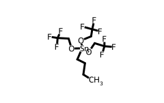 CCC[CH2][Sn]([O]CC(F)(F)F)([O]CC(F)(F)F)[O]CC(F)(F)F